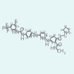 CNC(=O)c1cc(Nc2nccc(NCc3ccc(NC(=O)Nc4cc(F)cc(C(F)(F)F)c4)cc3)n2)ccc1OCCN1CCCC1